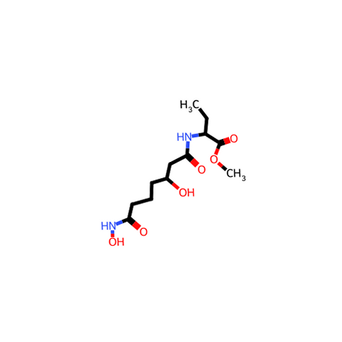 CCC(NC(=O)CC(O)CCCC(=O)NO)C(=O)OC